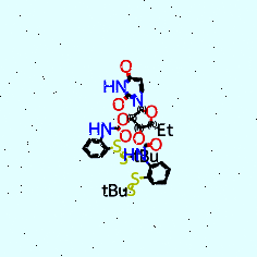 CC[C@H]1O[C@@H](n2ccc(=O)[nH]c2=O)[C@H](OC(=O)Nc2ccccc2SSC(C)(C)C)[C@@H]1OC(=O)Nc1ccccc1SSC(C)(C)C